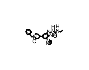 CCNC(=O)Nc1nc2cc(C3CCN(Cc4ccccc4)C(=O)C3)cc(-n3cccn3)c2[nH]1